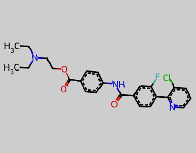 CCN(CC)CCOC(=O)c1ccc(NC(=O)c2ccc(-c3ncccc3Cl)c(F)c2)cc1